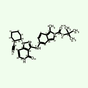 Cc1c2ccc(Nc3nn([C@H]4CCCC[C@@H]4C#N)c4cc[nH]c(=O)c34)cc2cn1C(=O)OC(C)(C)C